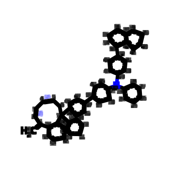 C=C1/C=C\C=C/CC(c2ccccc2)(c2ccc(-c3ccc(N(c4ccccc4)c4ccc(-c5cccc6ccccc56)cc4)cc3)cc2)c2ccccc21